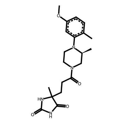 COc1ccc(C)c(N2CCN(C(=O)CCC3(C)NC(=O)NC3=O)C[C@@H]2C)c1